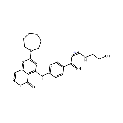 N=C(/N=N\NCCO)c1ccc(Nc2nc(N3CCCCCC3)nc3cn[nH]c(=O)c23)cc1